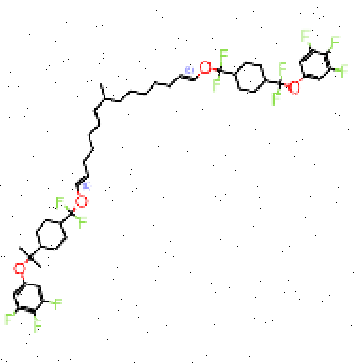 CC(CCCCC/C=C/OC(F)(F)C1CCC(C(C)(C)Oc2cc(F)c(F)c(F)c2)CC1)CCCCC/C=C/OC(F)(F)C1CCC(C(F)(F)Oc2cc(F)c(F)c(F)c2)CC1